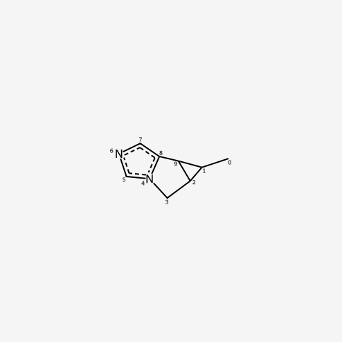 CC1C2Cn3cncc3C12